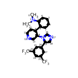 CN(C)c1ccccc1-c1ccncc1-n1cncc1-c1cc(C(F)(F)F)cc(C(F)(F)F)c1